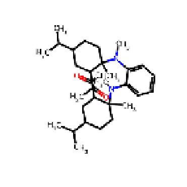 CC(=O)C1CC(C(C)C)CCC1(C)N(C)c1ccccc1N(C)C1(C)CCC(C(C)C)CC1C(C)=O